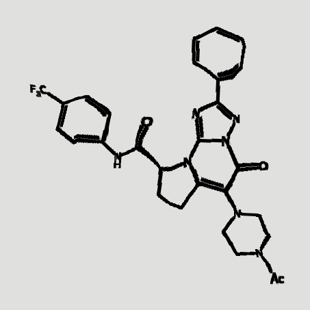 CC(=O)N1CCN(c2c3n(c4nc(-c5ccccc5)nn4c2=O)[C@H](C(=O)Nc2ccc(C(F)(F)F)cc2)CC3)CC1